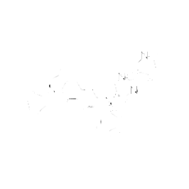 c1ccc(-n2ccc3cc4cc5c(cc4cc32)c2ccccc2n5-c2cnc(-c3cccnc3)nc2)cc1